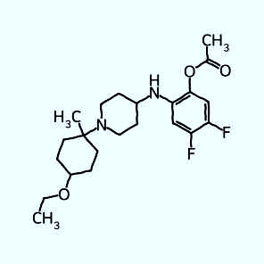 CCOC1CCC(C)(N2CCC(Nc3cc(F)c(F)cc3OC(C)=O)CC2)CC1